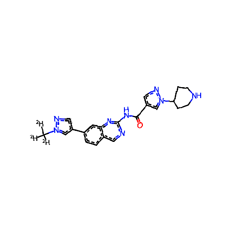 [2H]C([2H])([2H])n1cc(-c2ccc3cnc(NC(=O)c4cnn(C5CCNCC5)c4)nc3c2)cn1